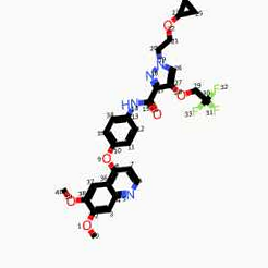 COc1cc2nccc(Oc3ccc(NC(=O)c4nn(CCOC5CC5)cc4OCC(F)(F)F)cc3)c2cc1OC